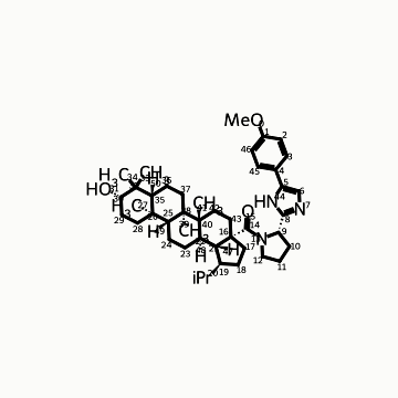 COc1ccc(-c2cnc([C@@H]3CCCN3C(=O)[C@]34CC[C@@H](C(C)C)[C@@H]3[C@H]3CC[C@@H]5[C@@]6(C)CC[C@H](O)C(C)(C)[C@@H]6CC[C@@]5(C)[C@]3(C)CC4)[nH]2)cc1